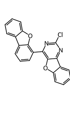 Clc1nc(-c2cccc3c2oc2ccccc23)c2oc3ccccc3c2n1